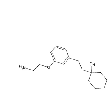 NCCOc1cccc(CCC2(O)CCCCC2)c1